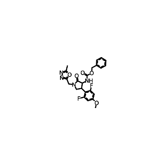 COc1cc(F)c(C2CN(Cc3nnc(C)o3)C(=O)C2NC(=O)OCc2ccccc2)c(F)c1